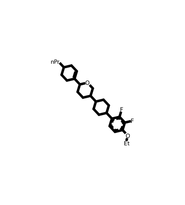 CCCC1CC=C(C2CCC(C3CCC(c4ccc(OCC)c(F)c4F)CC3)CO2)CC1